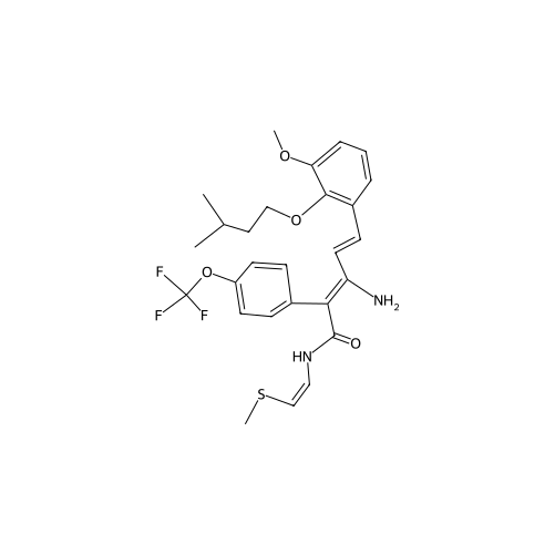 COc1cccc(/C=C/C(N)=C(/C(=O)N/C=C\SC)c2ccc(OC(F)(F)F)cc2)c1OCCC(C)C